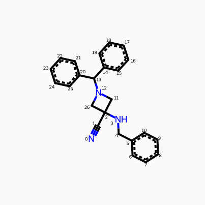 N#CC1(NCc2ccccc2)CN(C(c2ccccc2)c2ccccc2)C1